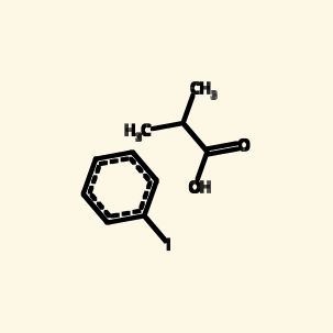 CC(C)C(=O)O.Ic1ccccc1